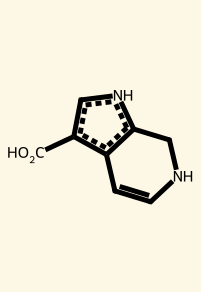 O=C(O)c1c[nH]c2c1C=CNC2